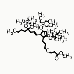 CCCCC(C)(C/C=C/[C@@H]1C(CCC=C=CCC(=O)OC)=C(O[Si](C)(C)C(C)(C)C)C[C@H]1O[Si](CC)(CC)CC)O[Si](C)(C)C